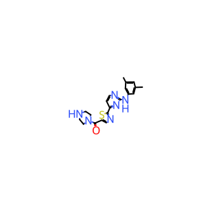 Cc1cc(C)cc(Nc2nccc(-c3ncc(C(=O)N4CCNCC4)s3)n2)c1